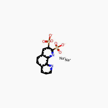 O=S(=O)([O-])c1cc2ccc3cccnc3c2nc1S(=O)(=O)[O-].[Na+].[Na+]